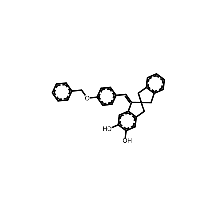 Oc1cc2c(cc1O)C(=Cc1ccc(OCc3ccccc3)cc1)C1(Cc3ccccc3C1)C2